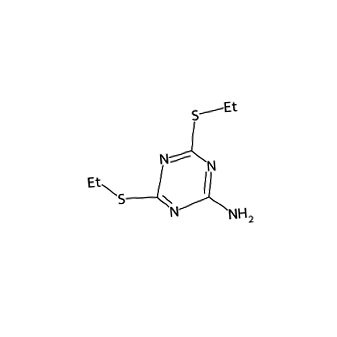 CCSc1nc(N)nc(SCC)n1